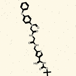 CC(C)(C)OC(=O)NC(=N)c1csc(CNC(=O)CNC(=O)CN(C=O)c2ccc(Oc3ccccc3)cc2)c1